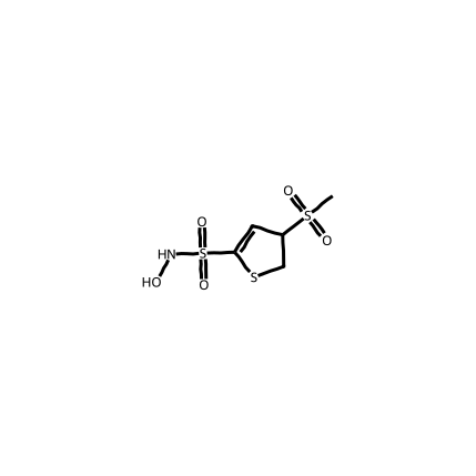 CS(=O)(=O)C1C=C(S(=O)(=O)NO)SC1